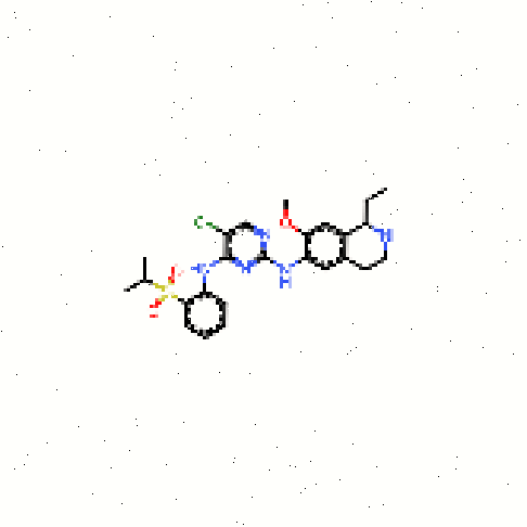 CCC1NCCc2cc(Nc3ncc(Cl)c(Nc4ccccc4S(=O)(=O)C(C)C)n3)c(OC)cc21